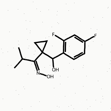 CC(C)/C(=N/O)C1(C(O)c2ccc(F)cc2F)CC1